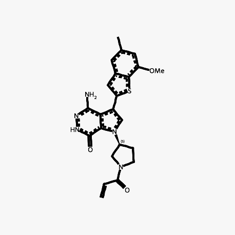 C=CC(=O)N1CC[C@H](n2cc(-c3cc4cc(C)cc(OC)c4s3)c3c(N)n[nH]c(=O)c32)C1